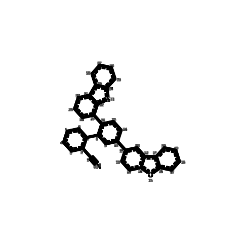 N#Cc1ccccc1-c1cc(-c2ccc3oc4ccccc4c3c2)ccc1-c1cccc2c1sc1ccccc12